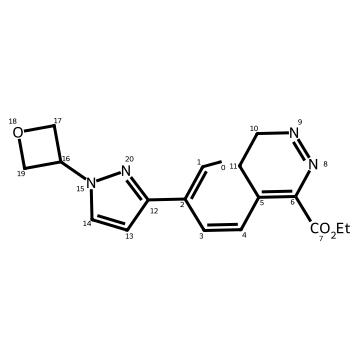 C/C=C(\C=C/C1=C(C(=O)OCC)N=NCC1)c1ccn(C2COC2)n1